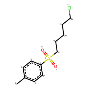 Cc1ccc(S(=O)(=O)CCCCCCl)cc1